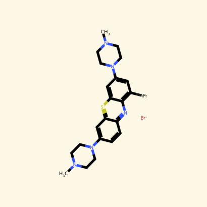 CC(C)c1cc(N2CCN(C)CC2)cc2[s+]c3cc(N4CCN(C)CC4)ccc3nc12.[Br-]